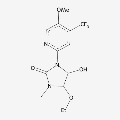 CCOC1C(O)N(c2cc(C(F)(F)F)c(OC)cn2)C(=O)N1C